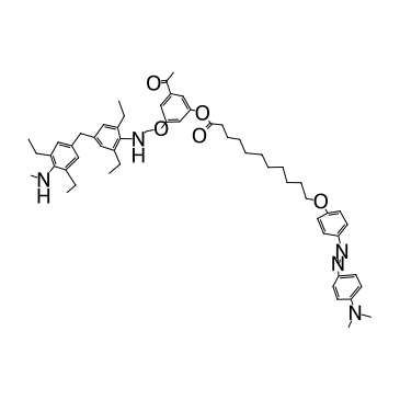 CCc1cc(Cc2cc(CC)c(NCOc3cc(OC(=O)CCCCCCCCCCOc4ccc(N=Nc5ccc(N(C)C)cc5)cc4)cc(C(C)=O)c3)c(CC)c2)cc(CC)c1NC